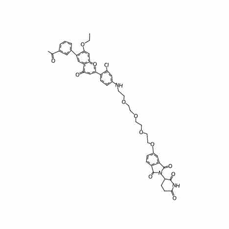 CCOc1cc2oc(-c3ccc(NCCOCCOCCOCCOc4ccc5c(c4)C(=O)N(C4CCC(=O)NC4=O)C5=O)cc3Cl)cc(=O)c2cc1-c1cccc(C(C)=O)c1